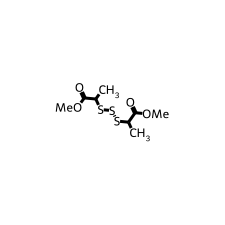 COC(=O)C(C)SSSC(C)C(=O)OC